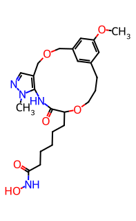 COc1cc2cc(c1)COCc1cnn(C)c1NC(=O)C(CCCCCC(=O)NO)OCCC2